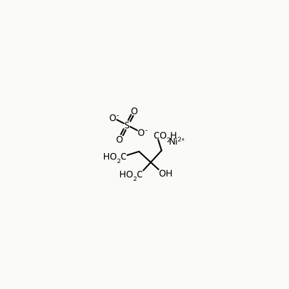 O=C(O)CC(O)(CC(=O)O)C(=O)O.O=S(=O)([O-])[O-].[Ni+2]